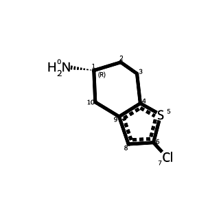 N[C@@H]1CCc2sc(Cl)cc2C1